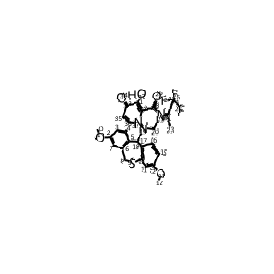 COc1ccc2c(c1)CSc1cc(OC)ccc1C2N1CN([C@H](C)C(F)(F)F)C(=O)c2c(O)c(=O)ccn21